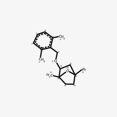 Cc1cccc(C)c1COC1CC2(C(C)C)CCC1(C)O2